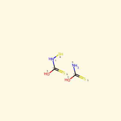 NC(O)=S.OC(=S)NS